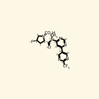 CN(C(=O)[C@@H]1C[C@@H](F)CN1C(=O)O)c1cc(-c2cnc(C(F)(F)F)nc2)ncn1